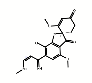 CN/C=C\C(=N)c1cc(OC)c2c(c1Cl)O[C@]1(CCC(=O)C=C1OC)C2=O